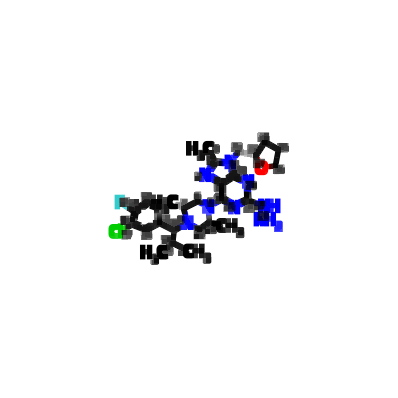 Cc1nc2c(N3C[C@@H](C)N(C(c4ccc(F)c(Cl)c4)C(C)C)C[C@@H]3C)nc(NN)nc2n1C[C@@H]1CCCO1